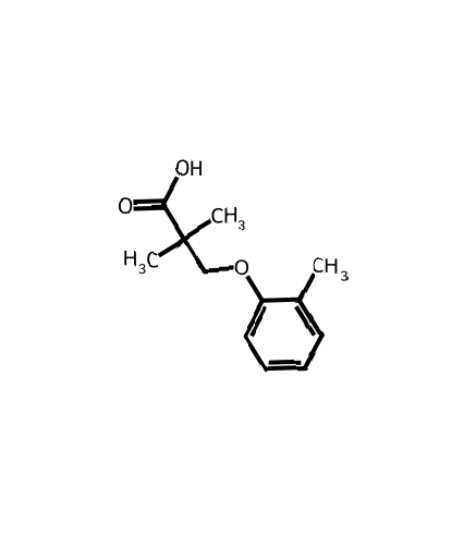 Cc1ccccc1OCC(C)(C)C(=O)O